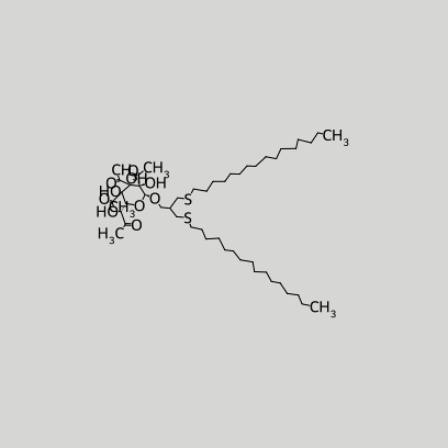 CCCCCCCCCCCCCCCCSCC(CO[C@H]1O[C@H](C(O)C(C)=O)[C@](O)(C(C)=O)[C@@](O)(C(C)=O)[C@]1(O)C(C)=O)CSCCCCCCCCCCCCCCCC